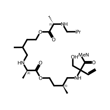 C=CC(CO)(NC[C@@H](C)CCOC(=O)[C@@H](C)NCC(C)CCOC(=O)[C@H](C)NCC(C)C)C(=O)NC